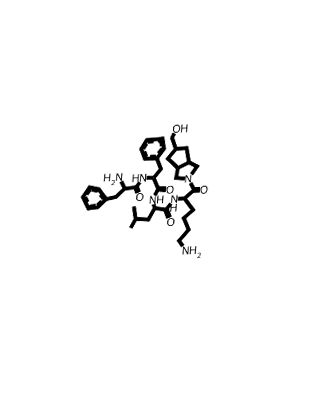 CC(C)CC(NC(=O)C(Cc1ccccc1)NC(=O)C(N)Cc1ccccc1)C(=O)NC(CCCCN)C(=O)N1CC2CC(CO)CC2C1